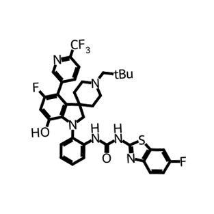 CC(C)(C)CN1CCC2(CC1)CN(c1ccccc1NC(=O)Nc1nc3ccc(F)cc3s1)c1c(O)cc(F)c(-c3ccc(C(F)(F)F)nc3)c12